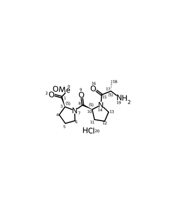 COC(=O)[C@@H]1CCCN1C(=O)[C@@H]1CCCN1C(=O)[C@H](C)N.Cl